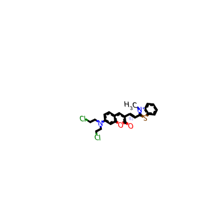 C[n+]1c(/C=C/c2cc3ccc(N(CCCl)CCCl)cc3oc2=O)sc2ccccc21